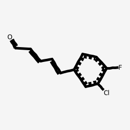 O=[C]C=CC=Cc1ccc(F)c(Cl)c1